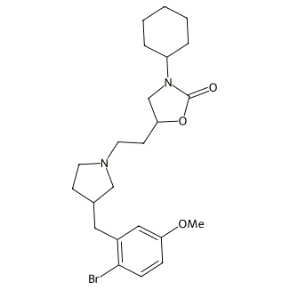 COc1ccc(Br)c(CC2CCN(CCC3CN(C4CCCCC4)C(=O)O3)C2)c1